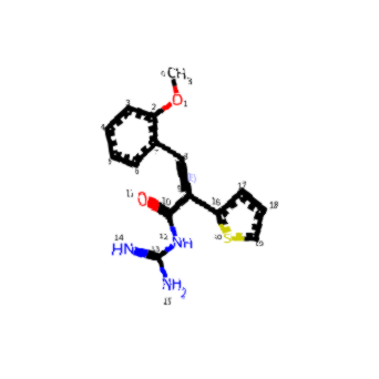 COc1ccccc1/C=C(\C(=O)NC(=N)N)c1cccs1